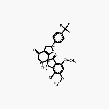 COc1cc(OC)c2c(c1Cl)O[C@]1(C2=O)C2=C(C[C@@H](c3ccc(C(F)(F)F)cc3)O2)C(=O)C[C@H]1C